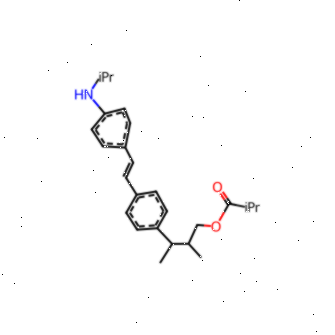 CC(C)Nc1ccc(/C=C/c2ccc(C(C)C(C)COC(=O)C(C)C)cc2)cc1